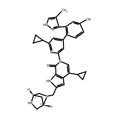 Cc1c[nH]nc1-c1cc(C#N)ccc1-c1cc(C2CC2)nc(-n2cc(C3CC3)c3cc(CN4C[C@@H]5C[C@H]4CN5)[nH]c3c2=O)c1